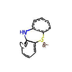 [Br-].[C+]1=C2Nc3ccccc3SC2=CC=C1